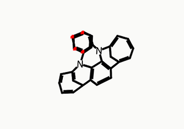 C1=CC=C2CC(=C1)c1ccc3c(c1N2c1ccccc1)N(C1C=CC=CC1)C1=CC3C=CC=C1